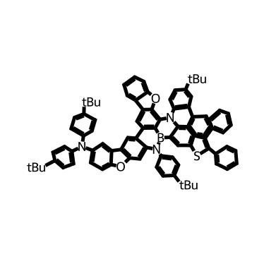 CC(C)(C)c1ccc(N2B3c4cc5sc(-c6ccccc6)c(-c6ccccc6)c5cc4N(c4ccc(C(C)(C)C)cc4-c4ccccc4)c4c3c(cc3c4oc4ccccc43)-c3cc4c(cc32)oc2ccc(N(c3ccc(C(C)(C)C)cc3)c3ccc(C(C)(C)C)cc3)cc24)cc1